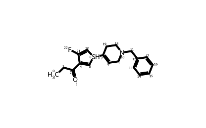 CCC(=O)C1=C[SH](C2=CCN(Cc3ccccc3)CC2)C=C1F